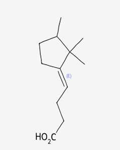 CC1CC/C(=C\CCC(=O)O)C1(C)C